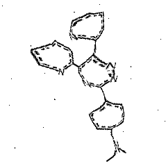 CN(C)c1ccc(-c2nnc(-c3ccccn3)c(-c3ccccn3)n2)cc1